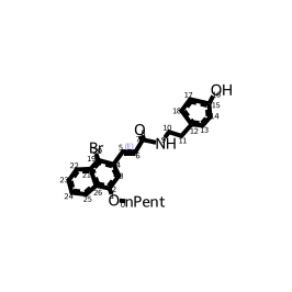 CCCCCOc1cc(/C=C/C(=O)NCCc2ccc(O)cc2)c(Br)c2ccccc12